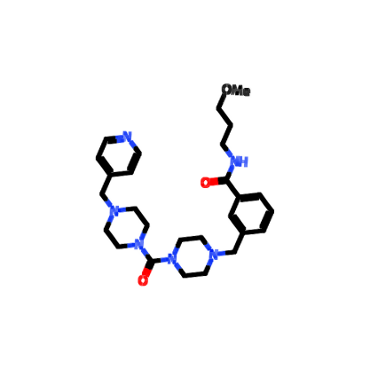 COCCCNC(=O)c1cccc(CN2CCN(C(=O)N3CCN(Cc4ccncc4)CC3)CC2)c1